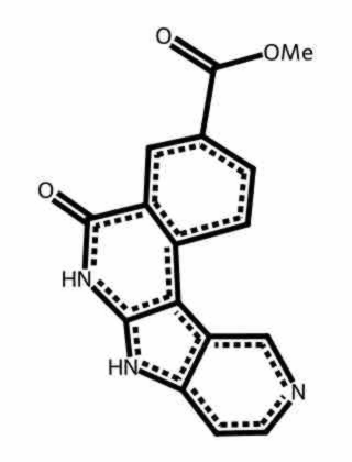 COC(=O)c1ccc2c(c1)c(=O)[nH]c1[nH]c3ccncc3c12